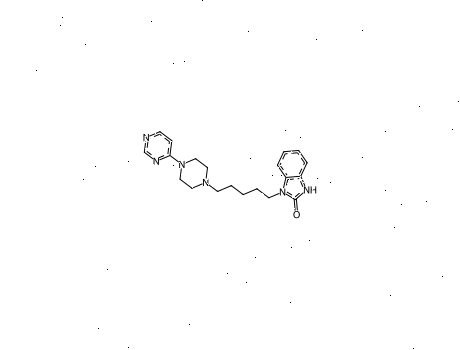 O=c1[nH]c2ccccc2n1CCCCCN1CCN(c2ccncn2)CC1